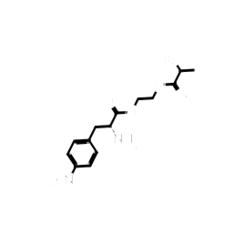 CC(O)C(=O)OCCOC(=O)[C@@H](N)Cc1ccc([N+](=O)[O-])cc1